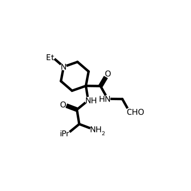 CCN1CCC(NC(=O)C(N)C(C)C)(C(=O)NCC=O)CC1